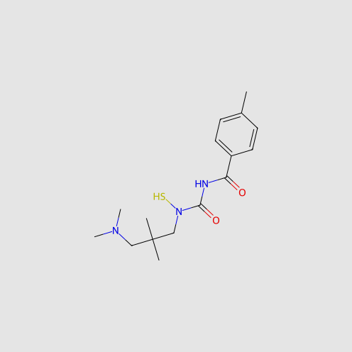 Cc1ccc(C(=O)NC(=O)N(S)CC(C)(C)CN(C)C)cc1